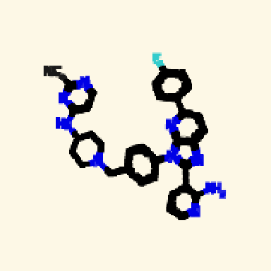 N#Cc1nccc(NC2CCN(Cc3ccc(-n4c(-c5cccnc5N)nc5ccc(-c6ccc(F)cc6)nc54)cc3)CC2)n1